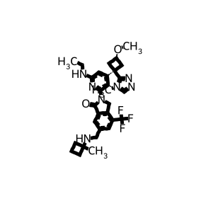 CCNc1cc([C@]2(c3nncn3C)C[C@H](OC)C2)cc(N2Cc3c(cc(CNC4(C)CCC4)cc3C(F)(F)F)C2=O)n1